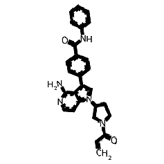 C=CC(=O)N1CCC(n2cc(-c3ccc(C(=O)Nc4ccccc4)cc3)c3c(N)nccc32)C1